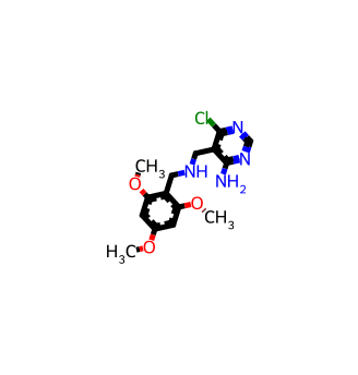 COc1cc(OC)c(CNCc2c(N)ncnc2Cl)c(OC)c1